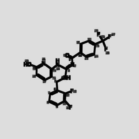 O=C(/N=C(/NCc1cccc(F)c1F)Nc1cccc(O)n1)c1ccc(C(F)(F)F)cc1